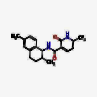 Cc1ccc2c(c1)CCC(C)C2NC(=O)c1ccc(C(F)(F)F)[nH]c1=O